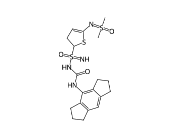 CS(C)(=O)=NC1=CCC(S(=N)(=O)NC(=O)Nc2c3c(cc4c2CCC4)CCC3)S1